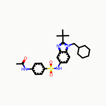 CC(=O)Nc1ccc(S(=O)(=O)Nc2ccc3c(c2)nc(C(C)(C)C)n3CC2CCCCC2)cc1